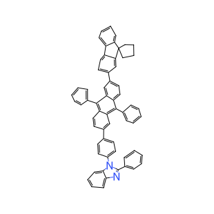 c1ccc(-c2c3ccc(-c4ccc5c(c4)C4(CCCC4)c4ccccc4-5)cc3c(-c3ccccc3)c3ccc(-c4ccc(-n5c(-c6ccccc6)nc6ccccc65)cc4)cc23)cc1